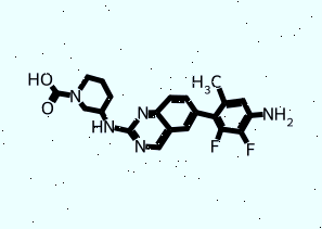 Cc1cc(N)c(F)c(F)c1-c1ccc2nc(NC3CCCN(C(=O)O)C3)ncc2c1